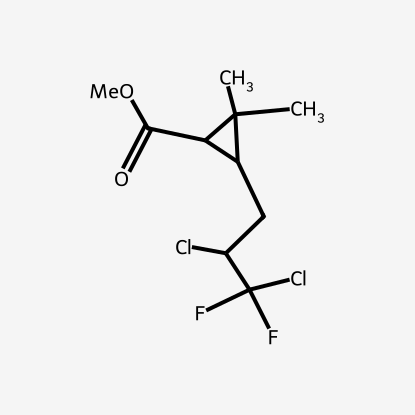 COC(=O)C1C(CC(Cl)C(F)(F)Cl)C1(C)C